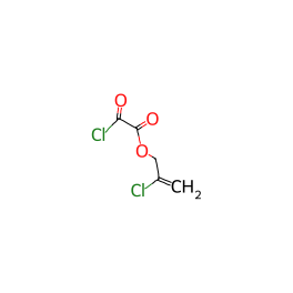 C=C(Cl)COC(=O)C(=O)Cl